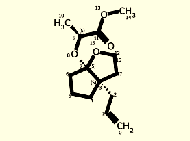 C=CC[C@]12CCC[C@@]1(O[C@@H](C)C(=O)OC)OCC2